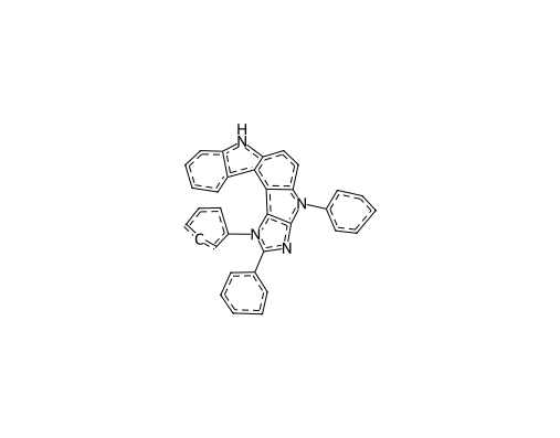 c1ccc(-c2nc3c(c4c5c(ccc4n3-c3ccccc3)[nH]c3ccccc35)n2-c2ccccc2)cc1